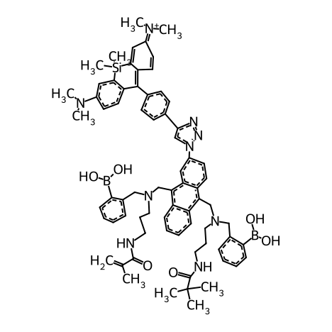 C=C(C)C(=O)NCCCN(Cc1ccccc1B(O)O)Cc1c2ccccc2c(CN(CCCNC(=O)C(C)(C)C)Cc2ccccc2B(O)O)c2ccc(-n3cc(-c4ccc(C5=C6C=CC(=[N+](C)C)C=C6[Si](C)(C)c6cc(N(C)C)ccc65)cc4)nn3)cc12